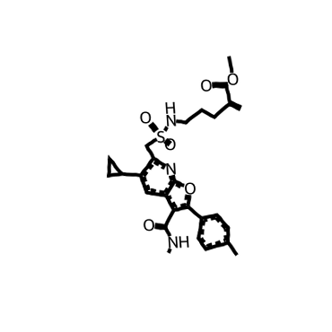 C=C(CCCNS(=O)(=O)Cc1nc2oc(-c3ccc(C)cc3)c(C(=O)NC)c2cc1C1CC1)C(=O)OC